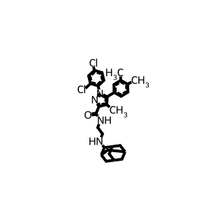 Cc1ccc(-c2c(C)c(C(=O)NCCNC3C4CC5CC(C4)CC3C5)nn2-c2ccc(Cl)cc2Cl)cc1C